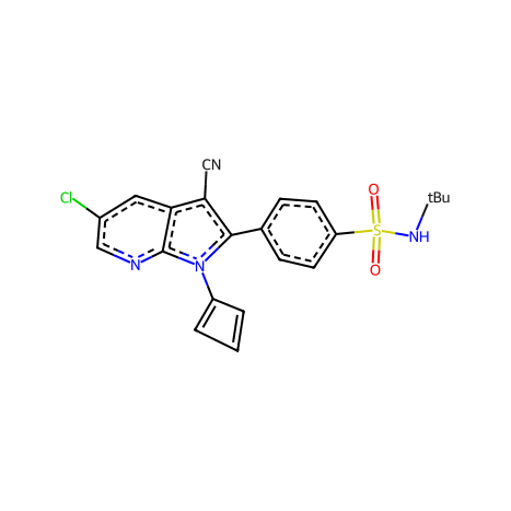 CC(C)(C)NS(=O)(=O)c1ccc(-c2c(C#N)c3cc(Cl)cnc3n2C2=CC=C2)cc1